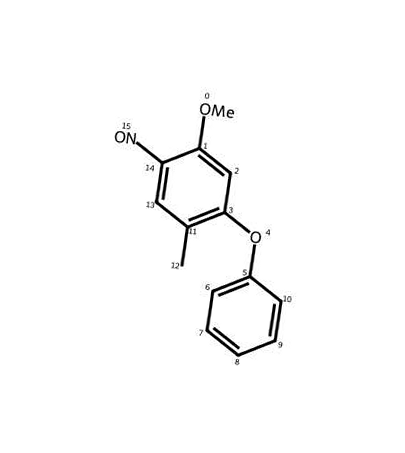 COc1cc(Oc2ccccc2)c(C)cc1N=O